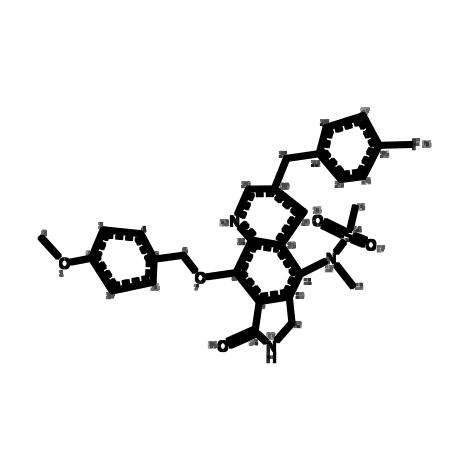 COc1ccc(COc2c3c(c(N(C)S(C)(=O)=O)c4cc(Cc5ccc(F)cc5)cnc24)CNC3=O)cc1